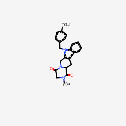 CCCCN1CC(=O)N2Cc3c(c4ccccc4n3Cc3ccc(C(=O)O)cc3)CC2C1=O